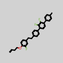 C=CCCOc1ccc(CCc2ccc(-c3ccc(-c4ccc(C)cc4)c(F)c3F)cc2)cc1F